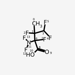 CC(F)(C(F)F)C(F)(C(=O)O)N(F)F